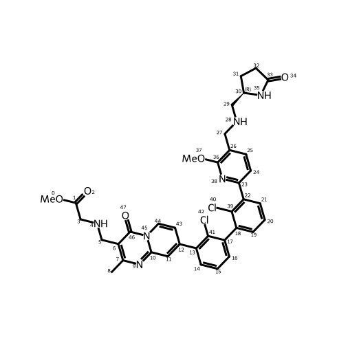 COC(=O)CNCc1c(C)nc2cc(-c3cccc(-c4cccc(-c5ccc(CNC[C@H]6CCC(=O)N6)c(OC)n5)c4Cl)c3Cl)ccn2c1=O